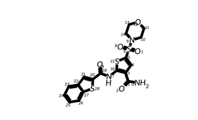 NC(=O)c1cc(S(=O)(=O)N2CCOCC2)sc1NC(=O)c1cc2ccccc2s1